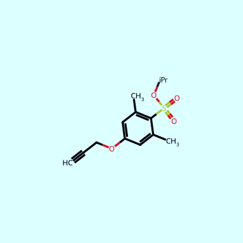 C#CCOc1cc(C)c(S(=O)(=O)OC(C)C)c(C)c1